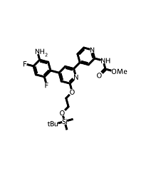 COC(=O)Nc1cc(-c2cc(-c3cc(N)c(F)cc3F)cc(OCCO[Si](C)(C)C(C)(C)C)n2)ccn1